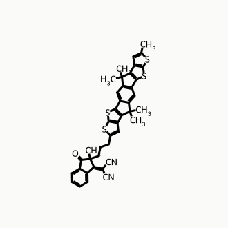 Cc1cc2c3c(sc2s1)-c1cc2c(cc1C3(C)C)-c1sc3sc(CCCC4(C)C(=O)c5ccccc5C4=C(C#N)C#N)cc3c1C2(C)C